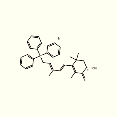 CC(C=CC1=C(C)C(=O)[C@@H](O)CC1(C)C)=CC[P+](c1ccccc1)(c1ccccc1)c1ccccc1.[Br-]